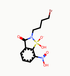 O=C1c2cccc([N+](=O)O)c2S([O-])(O)N1CCCCBr